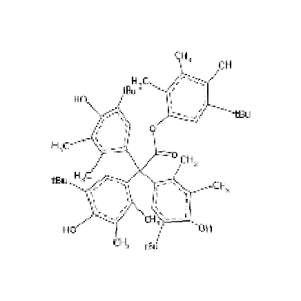 Cc1c(OC(=O)C(c2cc(C(C)(C)C)c(O)c(C)c2C)(c2cc(C(C)(C)C)c(O)c(C)c2C)c2cc(C(C)(C)C)c(O)c(C)c2C)cc(C(C)(C)C)c(O)c1C